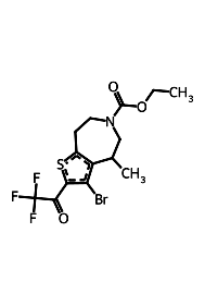 CCOC(=O)N1CCc2sc(C(=O)C(F)(F)F)c(Br)c2C(C)C1